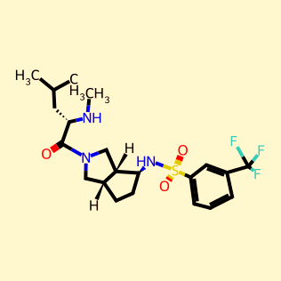 CN[C@@H](CC(C)C)C(=O)N1C[C@H]2CC[C@H](NS(=O)(=O)c3cccc(C(F)(F)F)c3)[C@H]2C1